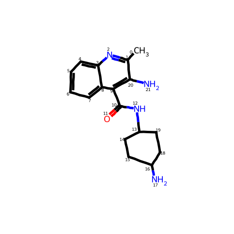 Cc1nc2ccccc2c(C(=O)NC2CCC(N)CC2)c1N